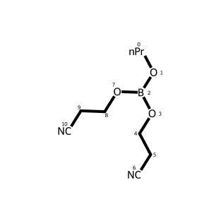 CCCOB(OCCC#N)OCCC#N